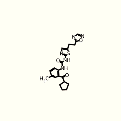 Cc1ccc(NC(=O)Nc2ncc(CCc3ncno3)s2)c(C(=O)C2CCCC2)c1